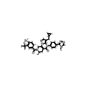 C[C@@H]1Cc2c(n3ncc(CC4CC4)c3n(-c3ccc(-c4nncn4C)cc3)c2=O)CN1C(=O)c1ccc(Br)c(C(F)(F)F)c1